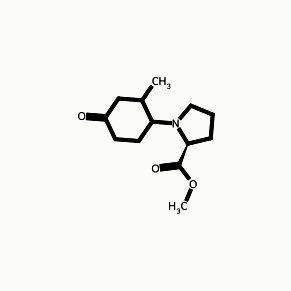 COC(=O)[C@@H]1CCCN1C1CCC(=O)CC1C